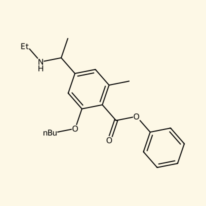 CCCCOc1cc(C(C)NCC)cc(C)c1C(=O)Oc1ccccc1